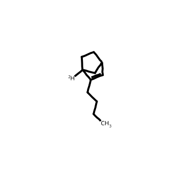 [2H]C12CCC(C=C1CCCC)C2